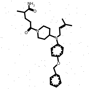 CC(C)=CCN(c1ccc(OCc2ccccc2)cc1)C1CCN(C(=O)[CH]CC(C)C(N)=O)CC1